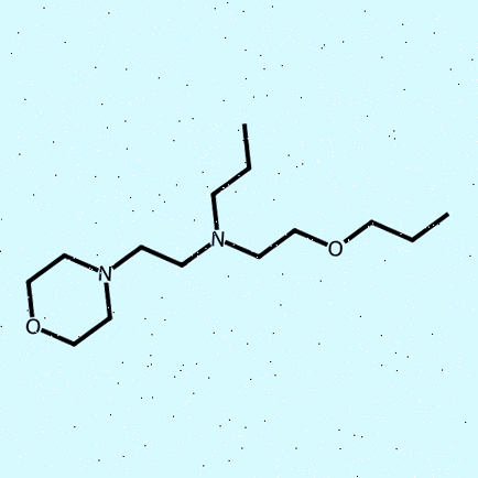 CCCOCCN(CCC)CCN1CCOCC1